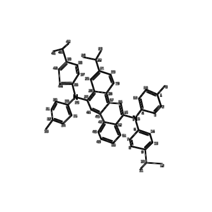 Cc1ccc(N(c2ccc(C(C)C)cc2)c2cc3c4ccc(C(C)C)cc4c(N(c4ccc(C)cc4)c4ccc(C(C)C)cc4)cc3c3ccccc23)cc1